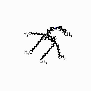 CCCCCCCCCCCCCCC(CCCCCCCCCC)CN1C(=O)c2cc3c(cc2=C1C)C(=O)N(CC(CCCCCCCCCC)CCCCCCCCCCCCCC)C=3c1ccc(-c2ccc(/C=C/c3ccc(-c4ccc(C)s4)s3)s2)s1